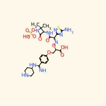 CC1(C)C(NC(=O)C(=NOC(COc2ccc(C(=N)NC3CCNCC3)cc2)C(=O)O)c2nsc(N)n2)C(=O)N1OS(=O)(=O)O